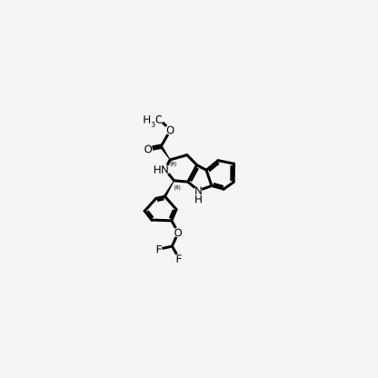 COC(=O)[C@H]1Cc2c([nH]c3ccccc23)[C@@H](c2cccc(OC(F)F)c2)N1